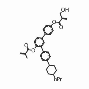 C=C(C)C(=O)Oc1ccc(-c2ccc(OC(=O)C(=C)CO)cc2)cc1-c1ccc(C2CCC(CCC)CC2)cc1